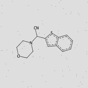 N#CC(c1cc2ccccc2s1)N1CCOCC1